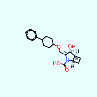 O=C(O)N1[C@@H]2CC[C@@H]2[C@H](O)[C@@H]1COC1CCC(c2ccccc2)CC1